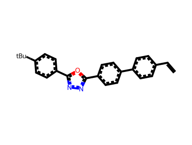 C=Cc1ccc(-c2ccc(-c3nnc(-c4ccc(C(C)(C)C)cc4)o3)cc2)cc1